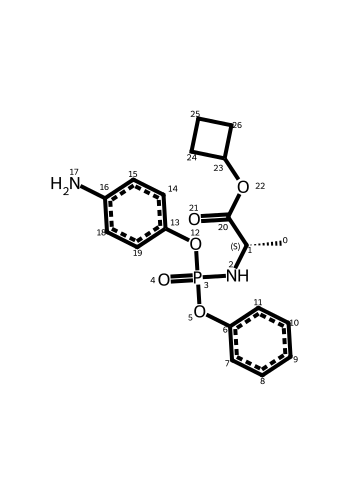 C[C@H](NP(=O)(Oc1ccccc1)Oc1ccc(N)cc1)C(=O)OC1CCC1